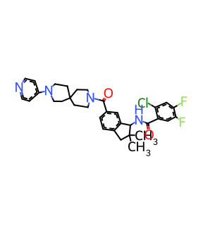 CC1(C)Cc2ccc(C(=O)N3CCC4(CC3)CCN(c3ccncc3)CC4)cc2C1NC(=O)c1cc(F)c(F)cc1Cl